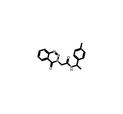 Cc1ccc(C(C)NC(=O)Cn2nnc3ccccc3c2=O)cc1